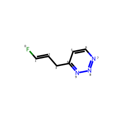 FC=CCc1ccnnn1